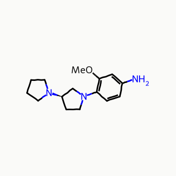 COc1cc(N)ccc1N1CC[C@@H](N2CCCC2)C1